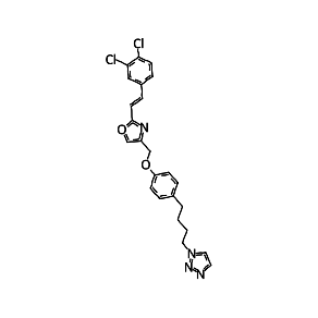 Clc1ccc(C=Cc2nc(COc3ccc(CCCCn4ccnn4)cc3)co2)cc1Cl